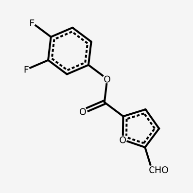 O=Cc1ccc(C(=O)Oc2ccc(F)c(F)c2)o1